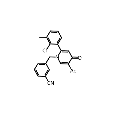 CC(=O)c1cn(Cc2cccc(C#N)c2)c(-c2cccc(C)c2Cl)cc1=O